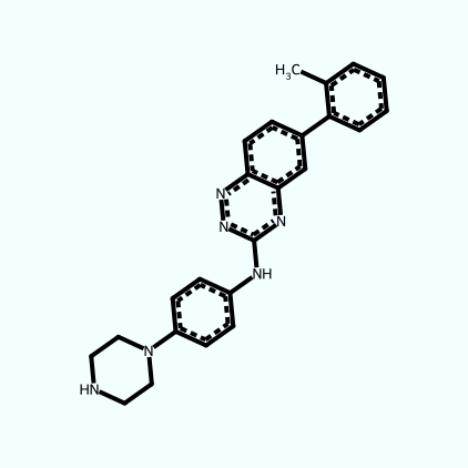 Cc1ccccc1-c1ccc2nnc(Nc3ccc(N4CCNCC4)cc3)nc2c1